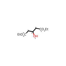 CCOC(=O)CC(O)CC(=O)OCC